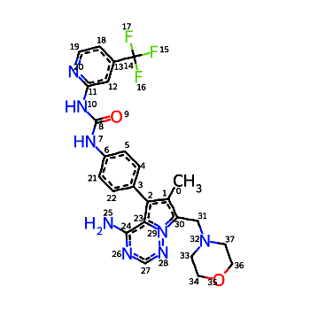 Cc1c(-c2ccc(NC(=O)Nc3cc(C(F)(F)F)ccn3)cc2)c2c(N)ncnn2c1CN1CCOCC1